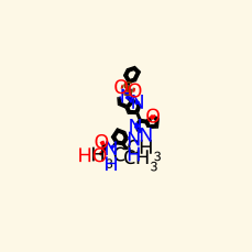 CC(C)(C)c1c(NC(=O)O)cccc1Nc1nc(-c2cnc3c(ccn3S(=O)(=O)c3ccccc3)c2)c2occc2n1